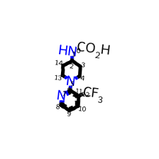 O=C(O)NC1CCN(c2ncccc2C(F)(F)F)CC1